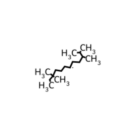 CCC(C)(C)CCC[CH]CCC(C)C(C)C